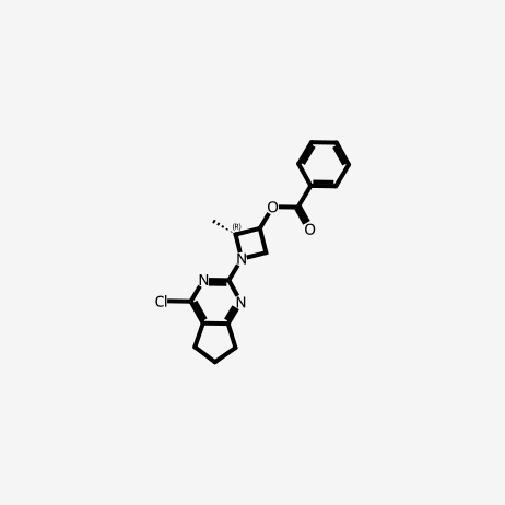 C[C@@H]1C(OC(=O)c2ccccc2)CN1c1nc(Cl)c2c(n1)CCC2